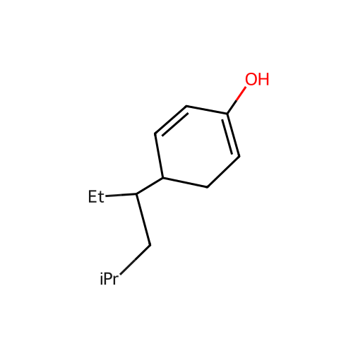 CCC(CC(C)C)C1C=CC(O)=CC1